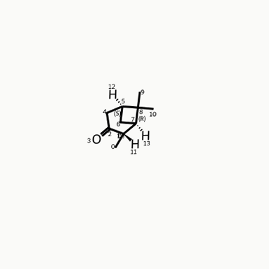 C[C@@H]1C(=O)C[C@@H]2C[C@H]1C2(C)C